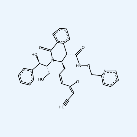 C#C/C=C(Cl)\C=C/C[C@@H]1[C@@H](C(=O)NOCc2ccccn2)c2ccccc2C(=O)N1[C@H](CO)[C@H](O)c1ccccc1